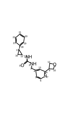 O=C(NCc1ccnc(C2COC2)c1)N[C@@H]1C[C@H]1c1ccccc1